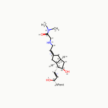 CCCCC[C@H](O)/C=C/[C@@H]1[C@H]2C/C(=C/CNCC(=O)N(C)C)C[C@H]2C[C@H]1O